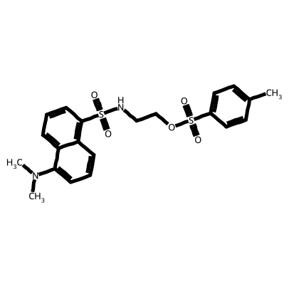 Cc1ccc(S(=O)(=O)OCCNS(=O)(=O)c2cccc3c(N(C)C)cccc23)cc1